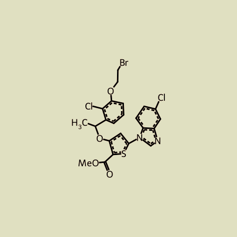 COC(=O)c1sc(-n2cnc3cc(Cl)ccc32)cc1OC(C)c1cccc(OCCBr)c1Cl